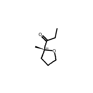 CCC(=O)[C@@]1(C)CCCO1